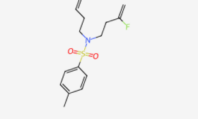 C=CCCN(CCC(=C)F)S(=O)(=O)c1ccc(C)cc1